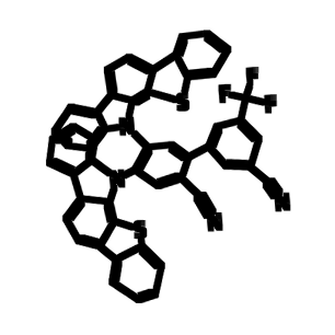 N#Cc1cc(-c2cc(-n3c4ccccc4c4ccc5c6ccccc6sc5c43)c(-n3c4ccccc4c4ccc5c6ccccc6sc5c43)cc2C#N)cc(C(F)(F)F)c1